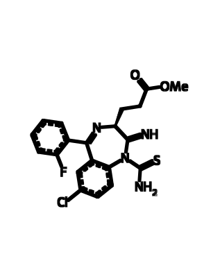 COC(=O)CC[C@@H]1N=C(c2ccccc2F)c2cc(Cl)ccc2N(C(N)=S)C1=N